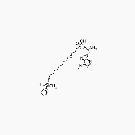 C[C@H](Cn1cnc2c(N)ncnc21)OCP(=O)(O)OCCCOCCCCCCCCCC#C[Si](C)(C)C1CC2CCC1C2